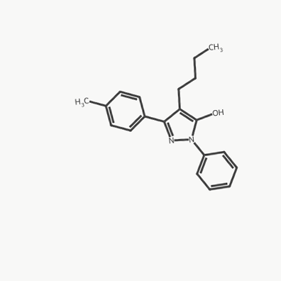 CCCCc1c(-c2ccc(C)cc2)nn(-c2ccccc2)c1O